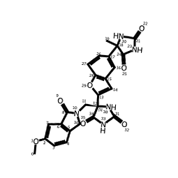 COc1ccc2c(c1)C(=O)N(C[C@@]1(c3cc4cc(C5(C)NC(=O)NC5=O)ccc4o3)NC(=O)NC1=O)C2